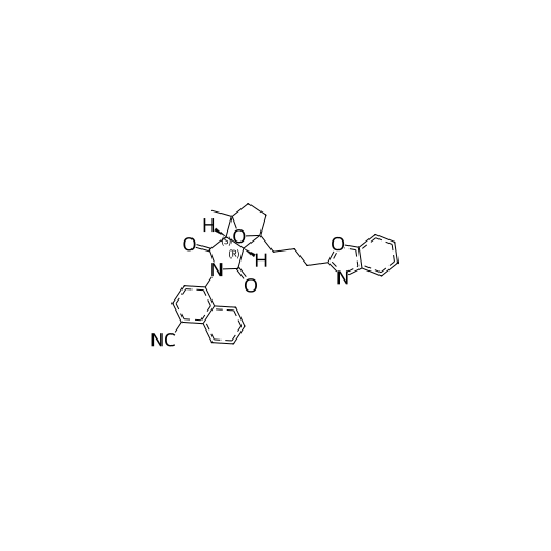 CC12CCC(CCCc3nc4ccccc4o3)(O1)[C@@H]1C(=O)N(c3ccc(C#N)c4ccccc34)C(=O)[C@@H]12